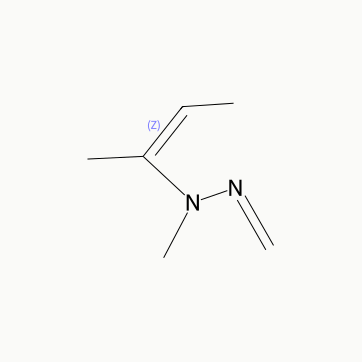 C=NN(C)/C(C)=C\C